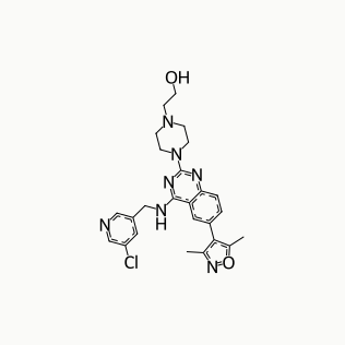 Cc1noc(C)c1-c1ccc2nc(N3CCN(CCO)CC3)nc(NCc3cncc(Cl)c3)c2c1